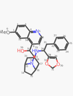 COc1ccc2nccc(C(O)CN3C4CCC3CC(NC(Cc3ccccc3)C3=COCO3)C4)c2c1